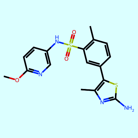 COc1ccc(NS(=O)(=O)c2cc(-c3sc(N)nc3C)ccc2C)cn1